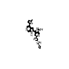 Cc1ccc(-c2cncc3[nH]c(-c4n[nH]c5cnc(-c6cncc(NC(=O)C7CCC7)c6)cc45)cc23)s1